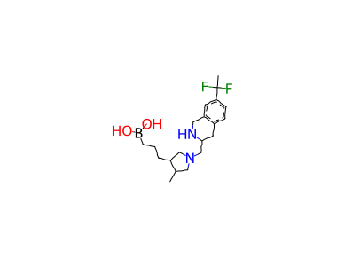 CC1CN(CC2Cc3ccc(C(C)(F)F)cc3CN2)CC1CCCB(O)O